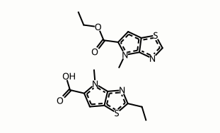 CCOC(=O)c1cc2scnc2n1C.CCc1nc2c(cc(C(=O)O)n2C)s1